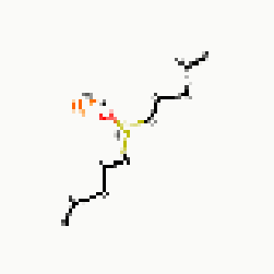 CCCCC[S+]([O-])CCCCC.P